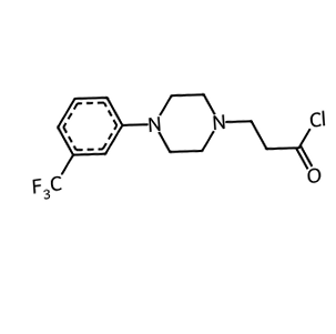 O=C(Cl)CCN1CCN(c2cccc(C(F)(F)F)c2)CC1